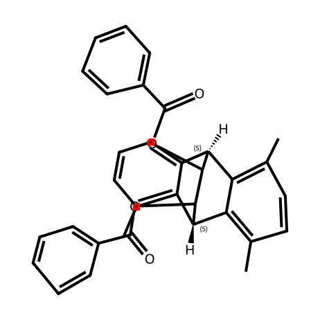 Cc1cccc2c1[C@H]1c3c(C)ccc(C)c3[C@H]2C(OC(=O)c2ccccc2)C1OC(=O)c1ccccc1